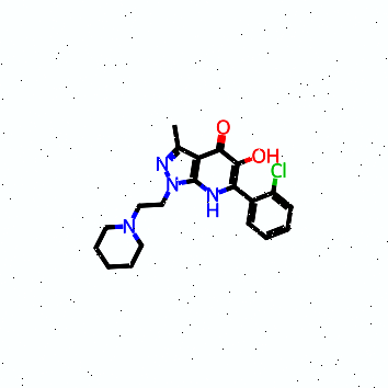 Cc1nn(CCN2CCCCC2)c2[nH]c(-c3ccccc3Cl)c(O)c(=O)c12